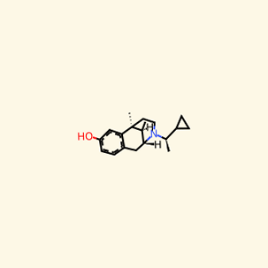 C[C@H](C1CC1)N1CC[C@]2(C)c3cc(O)ccc3C[C@@H]1[C@@H]2C